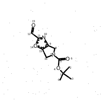 CC(C)(C)OC(=O)N1Cc2nc(C=O)oc2C1